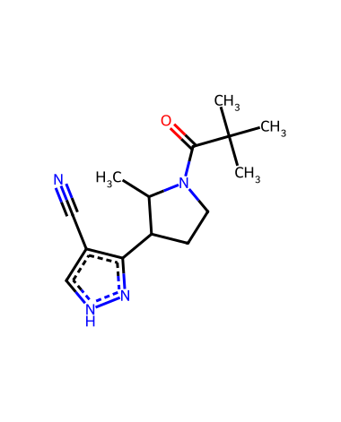 CC1C(c2n[nH]cc2C#N)CCN1C(=O)C(C)(C)C